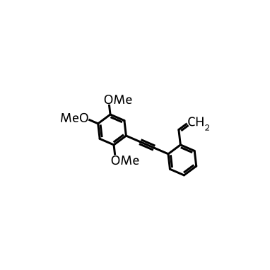 C=Cc1ccccc1C#Cc1cc(OC)c(OC)cc1OC